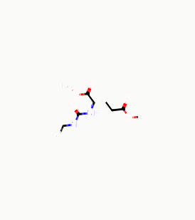 CC(C)(C)OC(=O)CC[C@H](NC(=O)NCC=O)C(=O)OC(C)(C)C